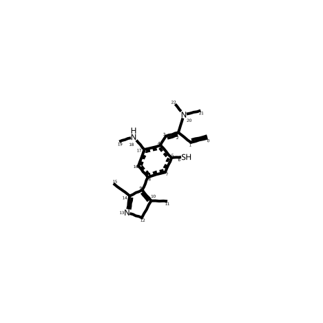 C=C/C(=C\c1c(S)cc(C2=C(C)CN=C2C)cc1NC)N(C)C